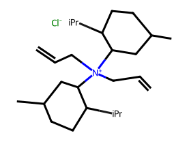 C=CC[N+](CC=C)(C1CC(C)CCC1C(C)C)C1CC(C)CCC1C(C)C.[Cl-]